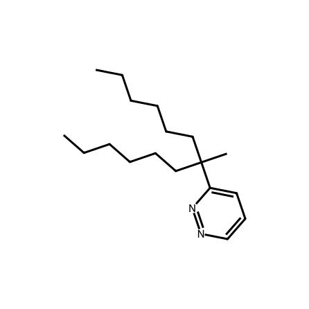 CCCCCCC(C)(CCCCCC)c1cccnn1